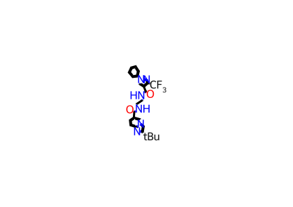 CC(C)(C)c1cn2cc(C(=O)NCCNC(=O)c3cn(-c4ccccc4)nc3C(F)(F)F)ccc2n1